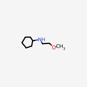 COCCNC1CCCCC1